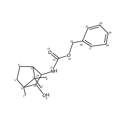 CC1(C)C2CCC1(C)C(O)C2NC(=O)OCc1ccccc1